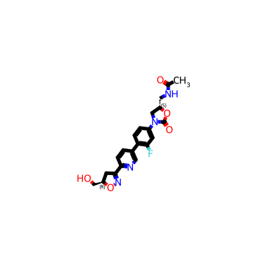 CC(=O)NC[C@H]1CN(c2ccc(-c3ccc(C4=NO[C@@H](CO)C4)nc3)c(F)c2)C(=O)O1